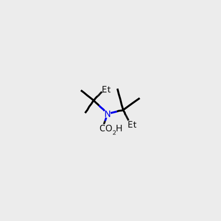 CCC(C)(C)N(C(=O)O)C(C)(C)CC